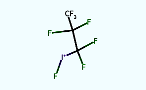 F[I+]C(F)(F)C(F)(F)C(F)(F)F